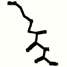 COCCOCC(=O)C(=O)NC(=O)OC